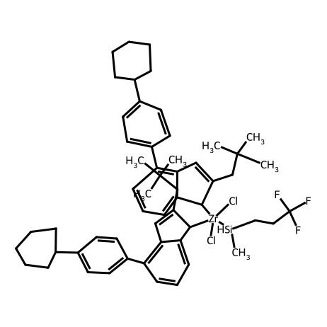 C[SiH](CCC(F)(F)F)[Zr]([Cl])([Cl])([CH]1C(CC(C)(C)C)=Cc2c(-c3ccc(C4CCCCC4)cc3)cccc21)[CH]1C(CC(C)(C)C)=Cc2c(-c3ccc(C4CCCCC4)cc3)cccc21